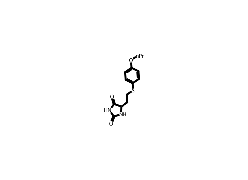 CCCOc1ccc(SCCC2NC(=O)NC2=O)cc1